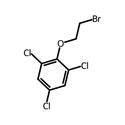 Clc1cc(Cl)c(OCCBr)c(Cl)c1